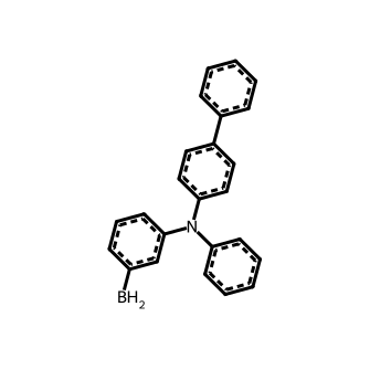 Bc1cccc(N(c2ccccc2)c2ccc(-c3ccccc3)cc2)c1